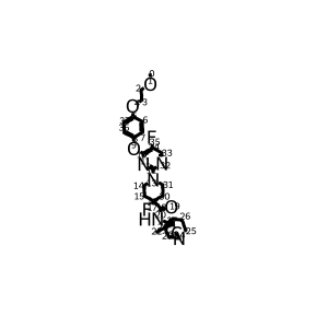 COCCOc1ccc(Oc2nc(N3CCC(F)(C(=O)NC4(C)CN5CCC4CC5)CC3)ncc2F)cc1